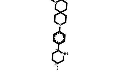 C[C@@H]1CC[C@@H](c2ccc(N3CCC4(CCCN(C)C4)CC3)cc2)NC1